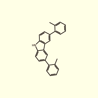 Cc1ccccc1-c1ccc2[nH]c3ccc(-c4ccccc4C)cc3c2c1